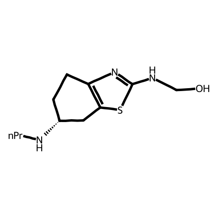 CCCN[C@@H]1CCc2nc(NCO)sc2C1